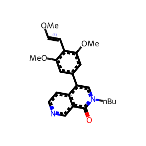 CCCCn1cc(-c2cc(OC)c(/C=C/OC)c(OC)c2)c2ccncc2c1=O